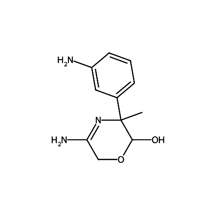 CC1(c2cccc(N)c2)N=C(N)COC1O